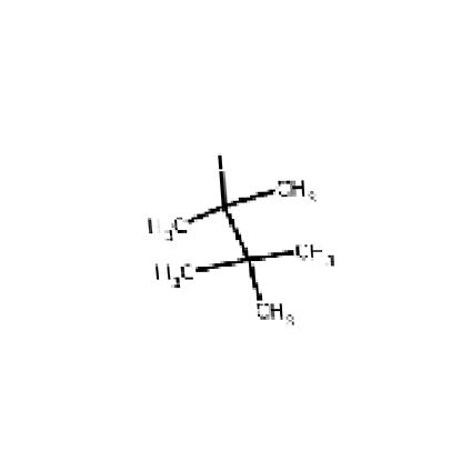 CC(C)(C)C(C)(C)I